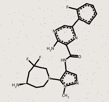 Cn1ncc(NC(=O)c2nc(-c3ccccc3F)cnc2N)c1N1CC[C@@H](N)CC(F)(F)C1